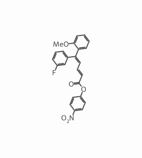 COc1ccccc1/C(=C/C=C/C(=O)Oc1ccc([N+](=O)[O-])cc1)c1cccc(F)c1